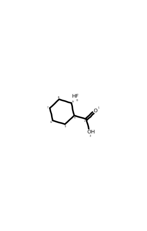 F.O=C(O)C1CCCCC1